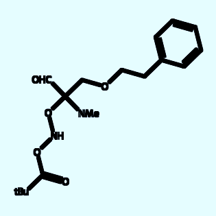 CNC(C=O)(COCCc1ccccc1)ONOC(=O)C(C)(C)C